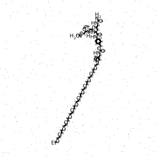 C=NOCC(=O)N[C@H](C(=O)N[C@@H](CCCNC(N)=O)C(=O)Nc1ccc(COC(=O)NCc2cn(CCOCCOCCOCCOCCOCCOCCOCCOCCOCCOCCOCCOCCOCC)nn2)cc1)C(C)C